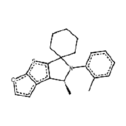 Cc1ccccc1N1[C@@H](C)c2c(sc3occc23)C12CCCCC2